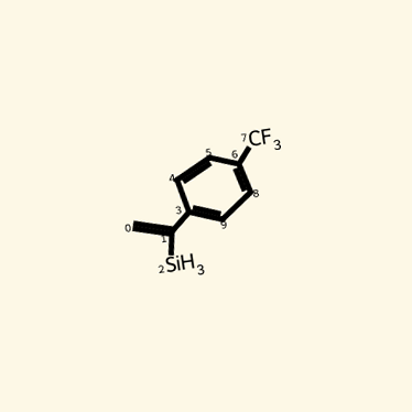 C=C([SiH3])c1ccc(C(F)(F)F)cc1